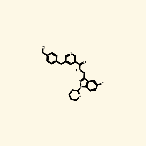 O=C(NCc1nn(C2CCCCO2)c2ccc(Cl)cc12)c1cncc(Cc2ccc(CCl)cc2)c1